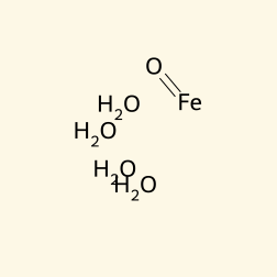 O.O.O.O.[O]=[Fe]